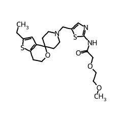 CCc1cc2c(s1)CCOC21CCN(Cc2cnc(NC(=O)COCCOC)s2)CC1